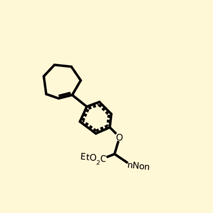 CCCCCCCCCC(Oc1ccc(C2=CCCCCC2)cc1)C(=O)OCC